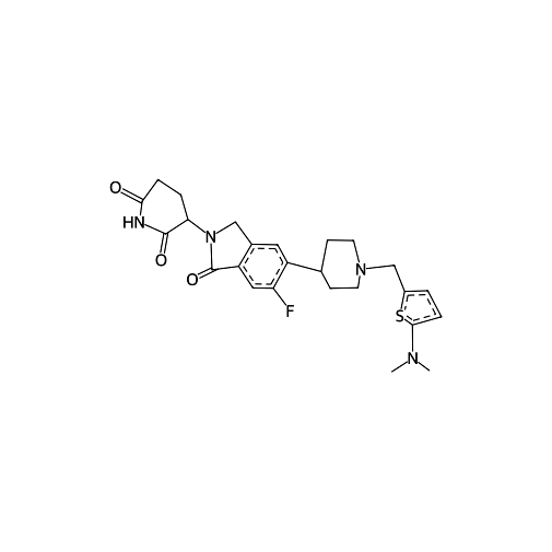 CN(C)c1ccc(CN2CCC(c3cc4c(cc3F)C(=O)N(C3CCC(=O)NC3=O)C4)CC2)s1